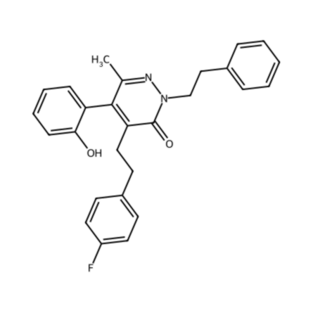 Cc1nn(CCc2ccccc2)c(=O)c(CCc2ccc(F)cc2)c1-c1ccccc1O